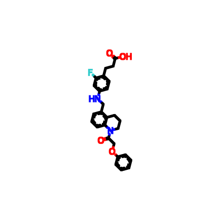 O=C(O)CCc1ccc(NCc2cccc3c2CCCN3C(=O)COc2ccccc2)cc1F